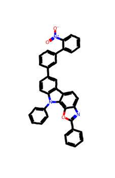 O=[N+]([O-])c1ccccc1-c1cccc(-c2ccc3c(c2)c2ccc4nc(-c5ccccc5)oc4c2n3-c2ccccc2)c1